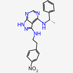 C[C@H](Nc1ncnc2[nH]nc(NCCc3ccc([N+](=O)[O-])cc3)c12)c1ccccc1